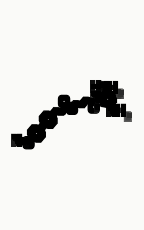 N#COc1ccc(-c2ccc(/C=C/C(=O)OCCCC(=O)Nc3cc(N)ccc3N)cc2)cc1